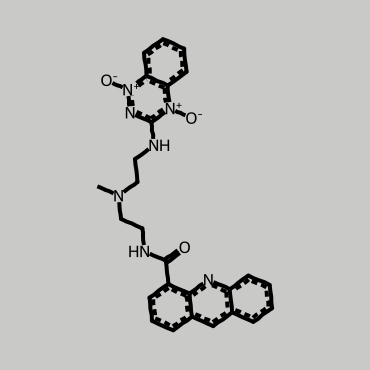 CN(CCNC(=O)c1cccc2cc3ccccc3nc12)CCNc1n[n+]([O-])c2ccccc2[n+]1[O-]